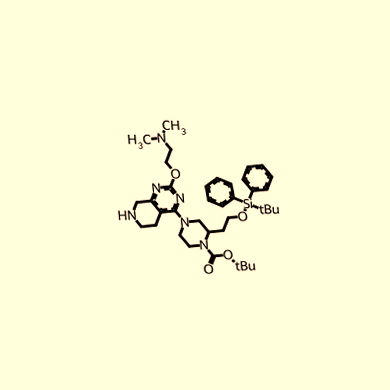 CN(C)CCOc1nc2c(c(N3CCN(C(=O)OC(C)(C)C)C(CCO[Si](c4ccccc4)(c4ccccc4)C(C)(C)C)C3)n1)CCNC2